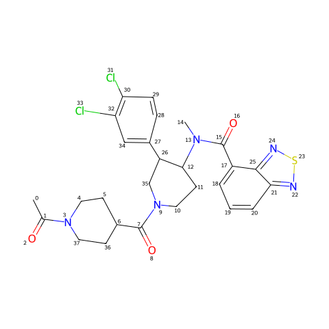 CC(=O)N1CCC(C(=O)N2CCC(N(C)C(=O)c3cccc4nsnc34)C(c3ccc(Cl)c(Cl)c3)C2)CC1